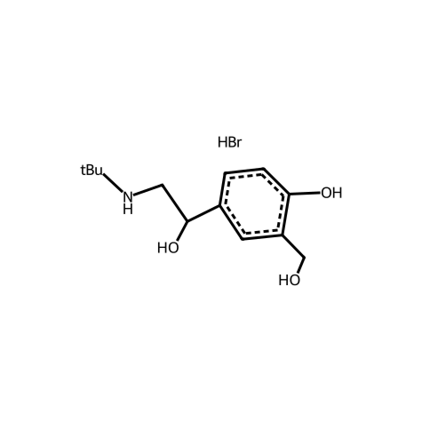 Br.CC(C)(C)NCC(O)c1ccc(O)c(CO)c1